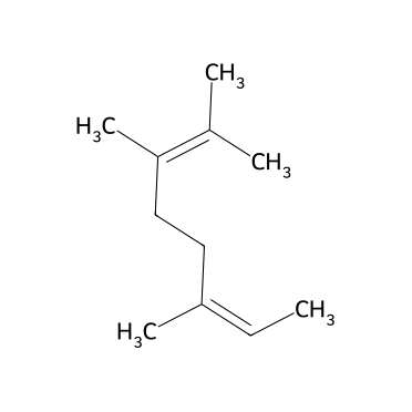 CC=C(C)CCC(C)=C(C)C